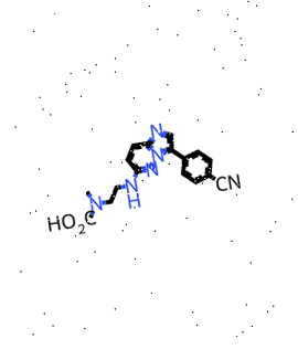 CN(CCNc1ccc2ncc(-c3ccc(C#N)cc3)n2n1)C(=O)O